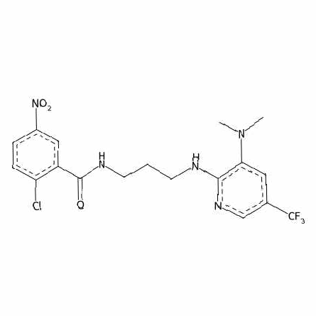 CN(C)c1cc(C(F)(F)F)cnc1NCCCNC(=O)c1cc([N+](=O)[O-])ccc1Cl